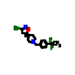 FC(F)(F)C(F)(F)c1ccc(CN2CCC([C@H]3CC(Br)=NO3)CC2)cc1